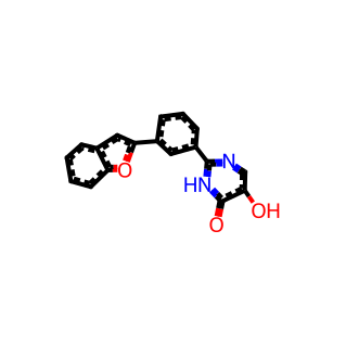 O=c1[nH]c(-c2cccc(-c3cc4ccccc4o3)c2)ncc1O